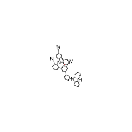 N#Cc1cc(-c2cccc(N3c4ccccc4[C@H]4C=CC=CC43)c2)cc(-c2cccc(C#N)c2-n2c3ccccc3c3cc(C#N)ccc32)c1